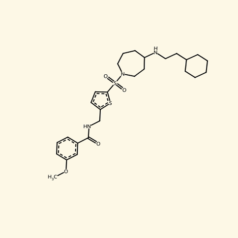 COc1cccc(C(=O)NCc2ccc(S(=O)(=O)N3CCCC(NCCC4CCCCC4)CC3)s2)c1